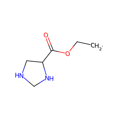 [CH2]COC(=O)C1CNCN1